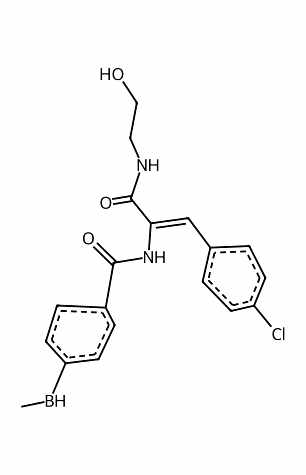 CBc1ccc(C(=O)N/C(=C\c2ccc(Cl)cc2)C(=O)NCCO)cc1